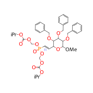 COC1OC(/C=C/P(=O)(OCOC(=O)OC(C)C)OCOC(=O)OC(C)C)C(OCc2ccccc2)C(OCc2ccccc2)C1OCc1ccccc1